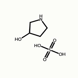 O=S(=O)(O)O.OC1CCNC1